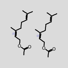 CC(=O)OC/C=C(/C)CCC=C(C)C.CC(=O)OC/C=C(/C)CCC=C(C)C